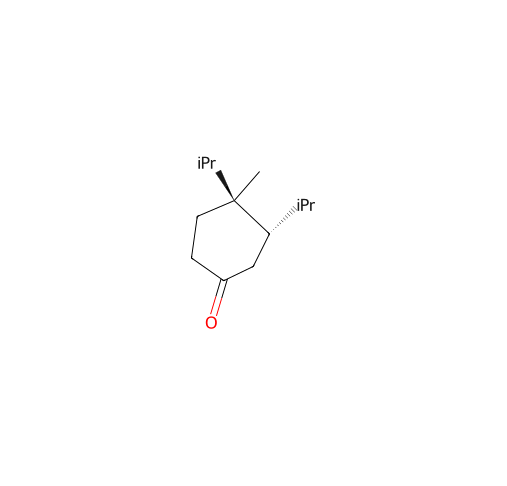 CC(C)[C@@H]1CC(=O)CC[C@@]1(C)C(C)C